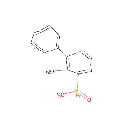 CCCCc1c(-c2ccccc2)cccc1[PH](=O)O